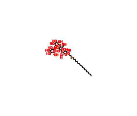 CCCCCCCCCCCCCCCCCCSCCO[C@@H]1O[C@H](CO)[C@@H](O[C@H]2O[C@H](CO)[C@@H](O[C@H]3O[C@H](CO[C@H]4O[C@H](CO)[C@@H](O)[C@H](O)[C@H]4O)[C@@H](O)[C@H](O)[C@H]3O)[C@H](O)[C@H]2O)[C@H](O)[C@H]1O